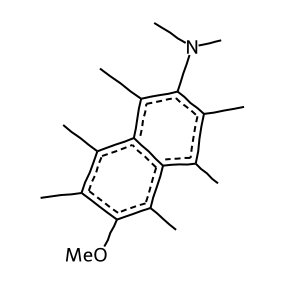 COc1c(C)c(C)c2c(C)c(N(C)C)c(C)c(C)c2c1C